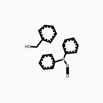 O=NN(c1ccccc1)c1ccccc1.OCc1ccccc1